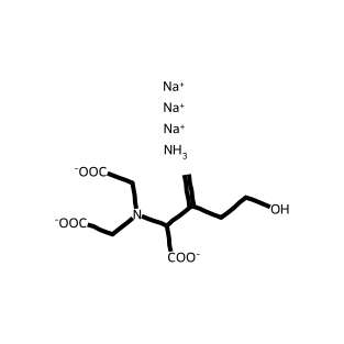 C=C(CCO)C(C(=O)[O-])N(CC(=O)[O-])CC(=O)[O-].N.[Na+].[Na+].[Na+]